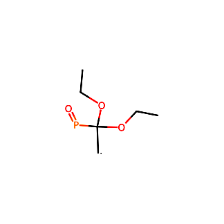 [CH2]C(OCC)(OCC)P=O